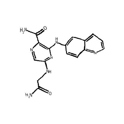 NC(=O)CNc1cnc(C(N)=O)c(Nc2ccc3ncccc3c2)n1